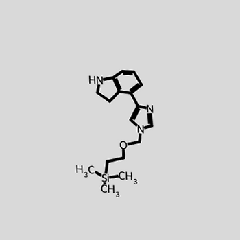 C[Si](C)(C)CCOCn1cnc(-c2cccc3c2CCN3)c1